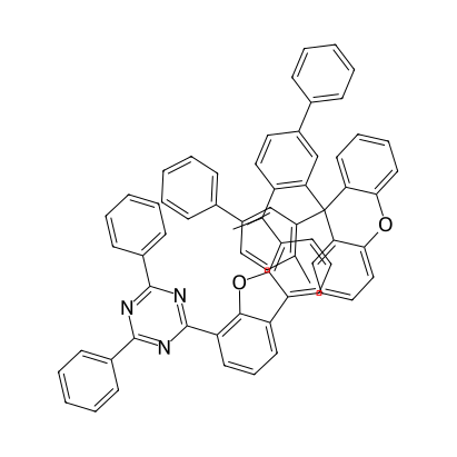 Cc1ccc(-c2ccccc2)cc1C1(c2cc(-c3ccccc3)ccc2C(C)c2cccc3c2oc2c(-c4nc(-c5ccccc5)nc(-c5ccccc5)n4)cccc23)c2ccccc2Oc2ccccc21